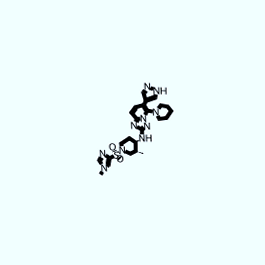 C[C@@H]1CN(S(=O)(=O)c2cn(C)cn2)CC[C@@H]1Nc1nc2ccc(-c3cn[nH]c3)c(N3CCCCC3)n2n1